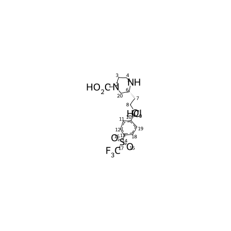 Cl.O=C(O)N1CCN[C@H](CCOc2ccc(S(=O)(=O)C(F)(F)F)cc2)C1